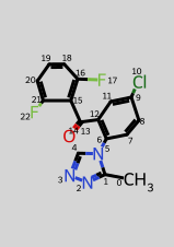 Cc1nncn1-c1ccc(Cl)cc1C(=O)c1c(F)cccc1F